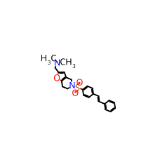 CN(C)Cc1cc2c(o1)CCN(S(=O)(=O)c1ccc(C=Cc3ccccc3)cc1)C2